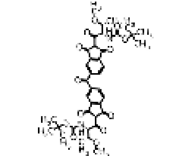 CO[C@H](C)[C@H](NC(=O)OC(C)(C)C)C(=O)C1C(=O)c2ccc(C(=O)c3ccc4c(c3)C(=O)C(C(=O)[C@@H](NC(=O)OC(C)(C)C)[C@@H](C)OC)C4=O)cc2C1=O